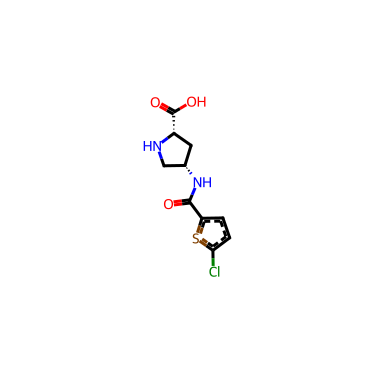 O=C(N[C@@H]1CN[C@H](C(=O)O)C1)c1ccc(Cl)s1